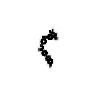 O=C(CO[C@H]1CC[C@H](Nc2ccc([N+](=O)[O-])c(C(F)(F)F)c2)CC1)N1CCN(c2nc3cc(F)ccc3s2)CC1